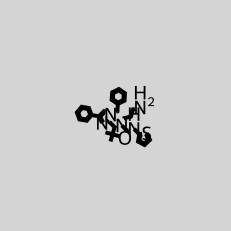 CC(C)(C)[C@H](c1nc(-c2ccccc2)cn1Cc1ccccc1)N(CCCN)C(=O)Nc1cccs1